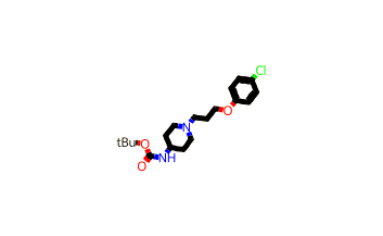 CC(C)(C)OC(=O)NC1CCN(CCCOc2ccc(Cl)cc2)CC1